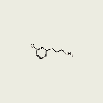 CCCCc1cccc([O])c1